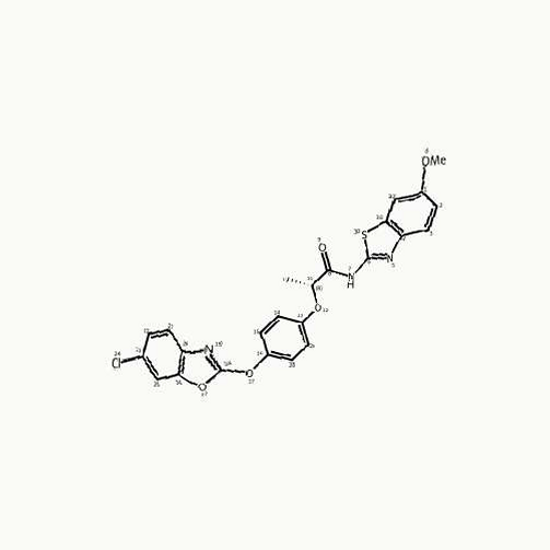 COc1ccc2nc(NC(=O)[C@@H](C)Oc3ccc(Oc4nc5ccc(Cl)cc5o4)cc3)sc2c1